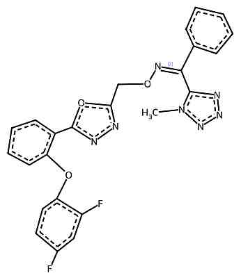 Cn1nnnc1/C(=N\OCc1nnc(-c2ccccc2Oc2ccc(F)cc2F)o1)c1ccccc1